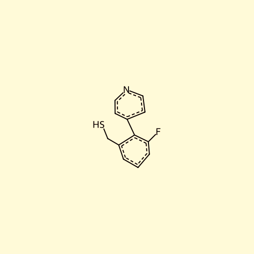 Fc1cccc(CS)c1-c1ccncc1